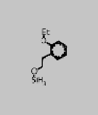 CCOc1ccccc1CCO[SiH3]